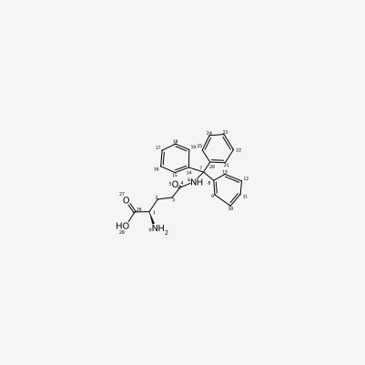 N[C@H](CCC(=O)NC(c1ccccc1)(c1ccccc1)c1ccccc1)C(=O)O